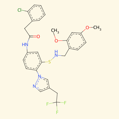 COc1ccc(CNSc2cc(NC(=O)Cc3ccccc3Cl)ccc2-n2cc(CC(F)(F)F)cn2)c(OC)c1